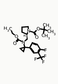 CCOC(=O)N(C[C@H]1CCCN1C(=O)OC(C)(C)C)C1(c2ccc(F)c(C(F)(F)F)c2)CC1